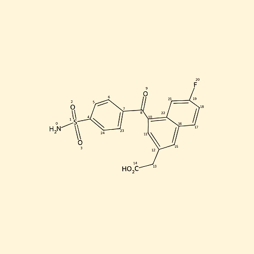 NS(=O)(=O)c1ccc(C(=O)c2cc(CC(=O)O)cc3ccc(F)cc23)cc1